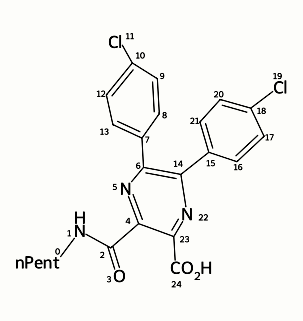 CCCCCNC(=O)c1nc(-c2ccc(Cl)cc2)c(-c2ccc(Cl)cc2)nc1C(=O)O